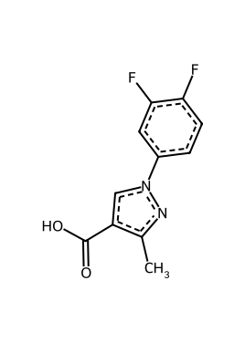 Cc1nn(-c2ccc(F)c(F)c2)cc1C(=O)O